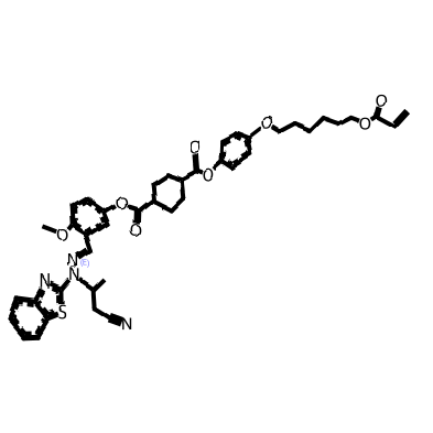 C=CC(=O)OCCCCCCOc1ccc(OC(=O)C2CCC(C(=O)Oc3ccc(OC)c(/C=N/N(c4nc5ccccc5s4)C(C)CC#N)c3)CC2)cc1